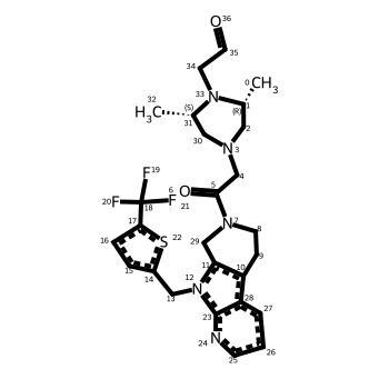 C[C@@H]1CN(CC(=O)N2CCc3c(n(Cc4ccc(C(F)(F)F)s4)c4ncccc34)C2)C[C@H](C)N1CC=O